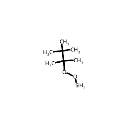 CC(C)(C)C(C)(C)OO[SiH3]